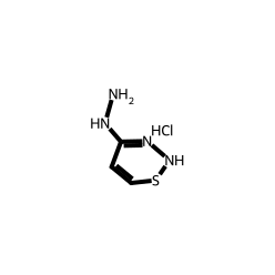 Cl.NNC1=NNSC=C1